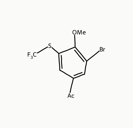 COc1c(Br)cc(C(C)=O)cc1SC(F)(F)F